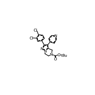 CC(C)(C)OC(=O)N1CCn2nc(-c3ccc(Cl)c(Cl)c3)c(-c3ccncc3)c2C1